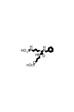 CCCCCCCCOCCCNC(=O)[C@H](CCCCNC(=O)O)NCc1ccccc1